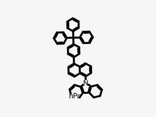 CCC/C=C\c1c(C)c2c(n1-c1cccc3c(-c4ccc(C(c5ccccc5)(c5ccccc5)c5ccccc5)cc4)cccc13)C=CCC2